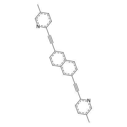 Cc1ccc(C#Cc2ccc3cc(C#Cc4ccc(C)cn4)ccc3c2)nc1